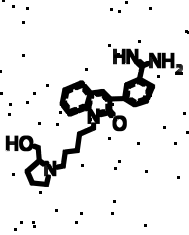 N=C(N)c1cccc(-c2cc3ccccc3n(CCCCCN3CCCC3CO)c2=O)c1